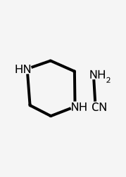 C1CNCCN1.N#CN